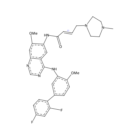 COc1cc2ncnc(Nc3cc(-c4ccc(F)cc4F)ccc3OC)c2cc1NC(=O)/C=C/CN1CCN(C)CC1